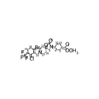 COC(=O)c1ccc(N2CC3(CCN(Cc4c(Br)ccc(C(F)(F)F)c4Cl)CC3)OC2=O)cc1